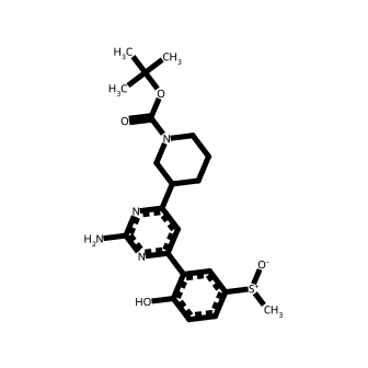 C[S+]([O-])c1ccc(O)c(-c2cc(C3CCCN(C(=O)OC(C)(C)C)C3)nc(N)n2)c1